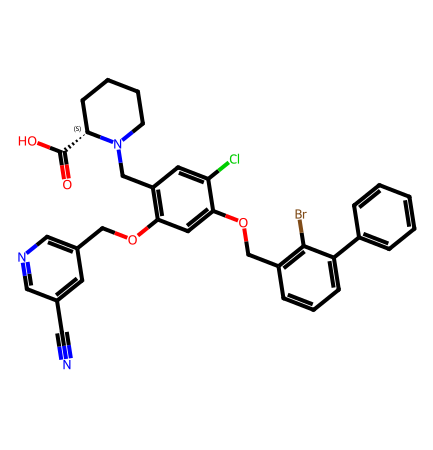 N#Cc1cncc(COc2cc(OCc3cccc(-c4ccccc4)c3Br)c(Cl)cc2CN2CCCC[C@H]2C(=O)O)c1